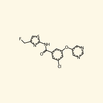 O=C(Nc1nc(CF)cs1)c1cc(Cl)cc(Oc2cncnc2)c1